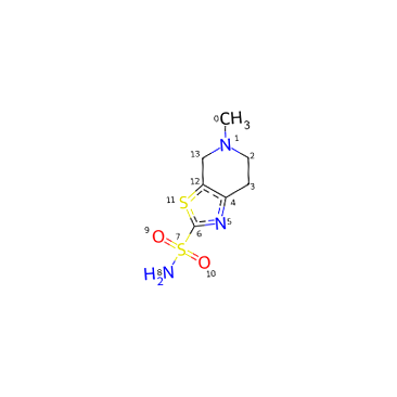 CN1CCc2nc(S(N)(=O)=O)sc2C1